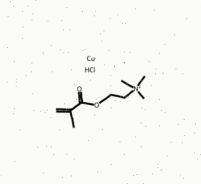 C=C(C)C(=O)OCC[N+](C)(C)C.Cl.[Cu]